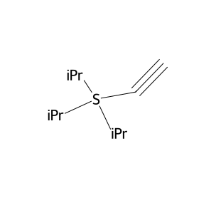 C#CS(C(C)C)(C(C)C)C(C)C